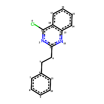 Clc1nc(CCc2ccccc2)nc2ccccc12